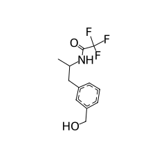 CC(Cc1cccc(CO)c1)NC(=O)C(F)(F)F